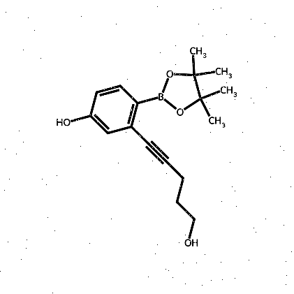 CC1(C)OB(c2ccc(O)cc2C#CCCCO)OC1(C)C